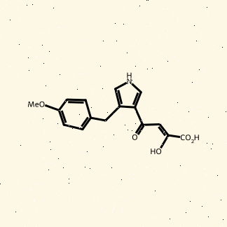 COc1ccc(Cc2c[nH]cc2C(=O)/C=C(\O)C(=O)O)cc1